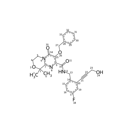 CC1(C)OCCn2c1nc(C(=O)NCc1ccc(F)cc1C#CCO)c(OCc1ccccc1)c2=O